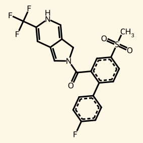 CS(=O)(=O)c1ccc(-c2ccc(F)cc2)c(C(=O)N2C=C3C=C(C(F)(F)F)NC=C3C2)c1